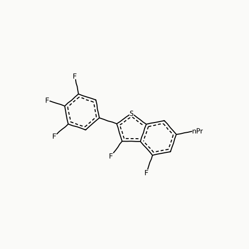 CCCc1cc(F)c2c(F)c(-c3cc(F)c(F)c(F)c3)sc2c1